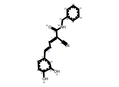 N#C/C(=C\C=C\c1ccc(O)c(O)c1)C(=O)NCc1ccccc1